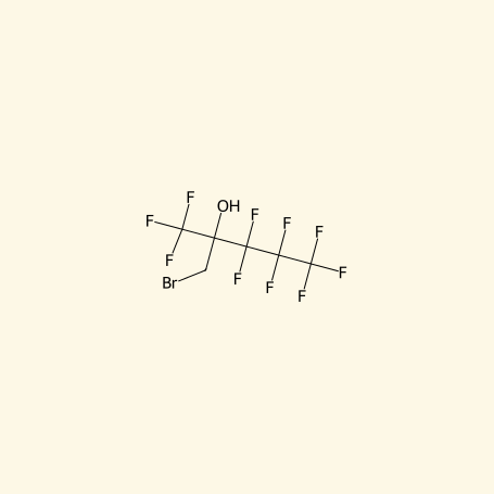 OC(CBr)(C(F)(F)F)C(F)(F)C(F)(F)C(F)(F)F